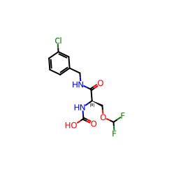 O=C(O)N[C@H](COC(F)F)C(=O)NCc1cccc(Cl)c1